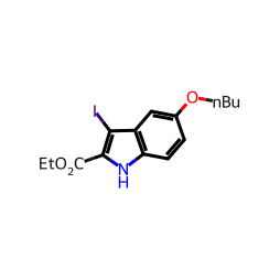 CCCCOc1ccc2[nH]c(C(=O)OCC)c(I)c2c1